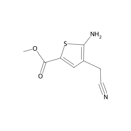 COC(=O)c1cc(CC#N)c(N)s1